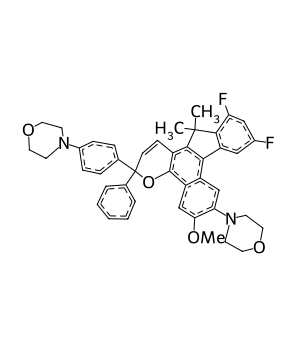 COc1cc2c3c(c4c(c2cc1N1CCOCC1)-c1cc(F)cc(F)c1C4(C)C)C=CC(c1ccccc1)(c1ccc(N2CCOCC2)cc1)O3